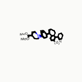 COC(OC)C1CCN(c2ccc(C3=CCCCc4c3ccc(C(=O)O)c4C3=CCCCC3)cc2)CC1